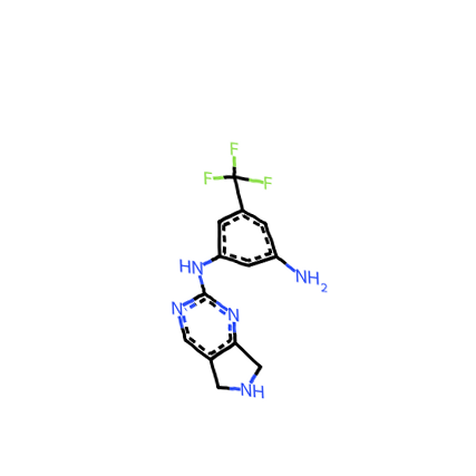 Nc1cc(Nc2ncc3c(n2)CNC3)cc(C(F)(F)F)c1